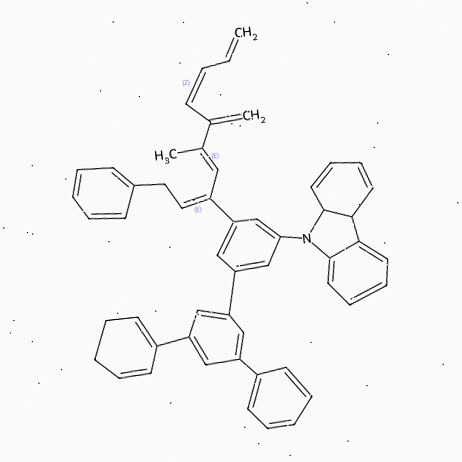 C=C/C=C\C(=C)/C(C)=C/C(=C\Cc1ccccc1)c1cc(-c2cc(C3=CCCC=C3)cc(-c3ccccc3)c2)cc(N2c3ccccc3C3C=CC=CC32)c1